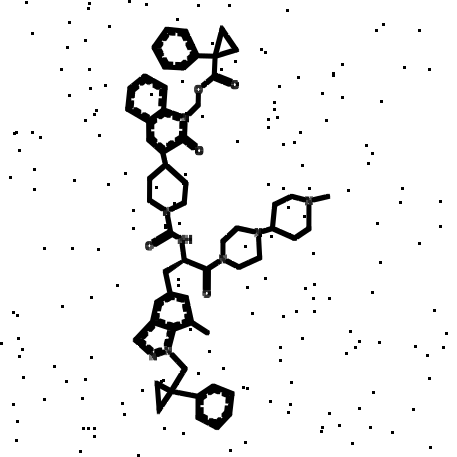 Cc1cc(C[C@@H](NC(=O)N2CCC(c3cc4ccccc4n(COC(=O)C4(c5ccccc5)CC4)c3=O)CC2)C(=O)N2CCN(C3CCN(C)CC3)CC2)cc2cnn(CC3(c4ccccc4)CC3)c12